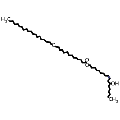 CCCCCCCCCCCCCCCCCCCCCCCCCCCCCCCCCCC(=O)OCCCCCCCC/C=C\C[C@H](O)CCCCCC